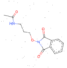 CC(=O)NCCCON1C(=O)c2ccccc2C1=O